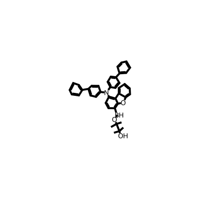 CC(C)(O)C(C)(C)OBc1ccc(N(c2ccc(-c3ccccc3)cc2)c2ccc(-c3ccccc3)cc2)c2c1oc1ccccc12